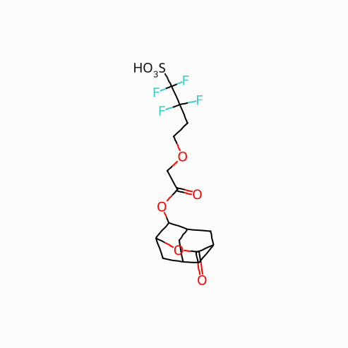 O=C(COCCC(F)(F)C(F)(F)S(=O)(=O)O)OC1C2CC3CC(C2)C(=O)OC1C3